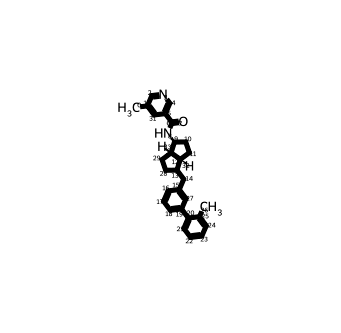 Cc1cncc(C(=O)N[C@H]2CC[C@H]3C(Cc4cccc(-c5ccccc5C)c4)CC[C@@H]23)c1